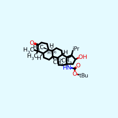 CC(C)C1=C2[C@H]3CC[C@@H]4[C@@]5(C)CCC(=O)C(C)(C)[C@@H]5CC[C@@]4(C)[C@]3(C)CC[C@@]2(NC(=O)OC(C)(C)C)CC1O